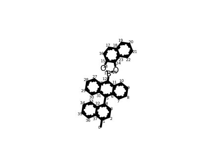 Cc1ccc(-c2c3ccccc3c(B3Oc4ccc5ccccc5c4O3)c3ccccc23)c2ccccc12